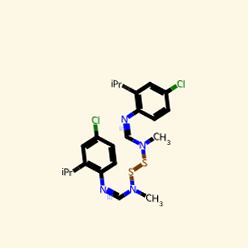 CC(C)c1cc(Cl)ccc1/N=C\N(C)SSN(C)/C=N\c1ccc(Cl)cc1C(C)C